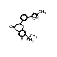 Cc1cc(-c2cccc(C3=Nc4cc(N(C)C)c(F)cc4NC(=O)C3)c2)on1